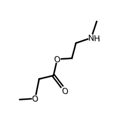 CNCCOC(=O)COC